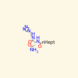 CCCCCCCC(=O)N[C@H](CC(N)=O)C(=O)NCCn1cnnc1